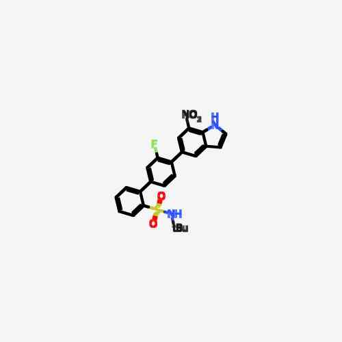 CC(C)(C)NS(=O)(=O)c1ccccc1-c1ccc(-c2cc([N+](=O)[O-])c3[nH]ccc3c2)c(F)c1